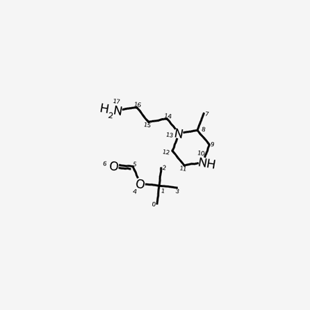 CC(C)(C)OC=O.CC1CNCCN1CCCN